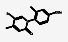 COc1ccc(-n2cc(Br)c(C)cc2=O)c(C)c1